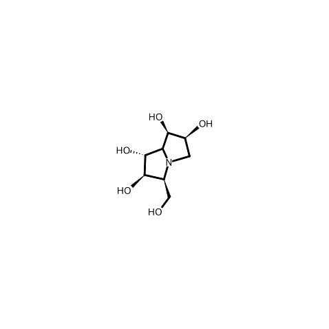 OC[C@H]1[C@@H](O)[C@H](O)C2[C@@H](O)[C@@H](O)CN21